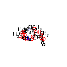 CCC1/C=C(\C)CC(C)CC(OC)C2OC(O)(C(=O)C(=O)N3CCCCC3C(=O)OC(C(C)=CC3CCC(OCC(=O)c4ccc5ccccc5c4)C(OC)C3)C(C)C(O)CC1=O)C(C)CC2OC